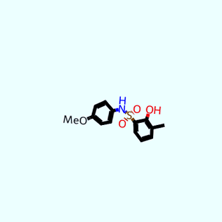 COc1ccc(NS(=O)(=O)c2cccc(C)c2O)cc1